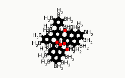 Bc1c(B)c(B)c(-c2c(B)c(-c3c(B)c(B)c(B)c(B)c3-c3c(B)c(B)c4c(B)c(B)c5c(B)c(B)c(B)c6c(B)c(B)c3c4c56)c(B)c(-c3c(B)c(B)c4c(B)c(B)c5c(B)c(B)c(B)c6c(B)c(B)c3c4c56)c2B)c(B)c1B